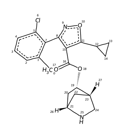 Cc1cccc(Cl)c1-c1noc(C2CC2)c1C(=O)O[C@H]1C[C@@H]2C[C@H]1CN2